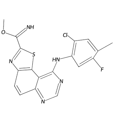 COC(=N)c1nc2ccc3ncnc(Nc4cc(F)c(C)cc4Cl)c3c2s1